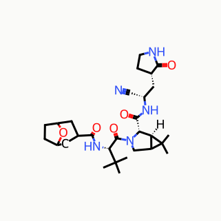 CC(C)(C)[C@H](NC(=O)C1CC2CCC(C1)O2)C(=O)N1CC2[C@@H]([C@H]1C(=O)N[C@H](C#N)C[C@@H]1CCNC1=O)C2(C)C